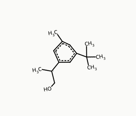 C[C](CO)c1cc(C)cc(C(C)(C)C)c1